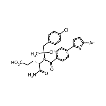 CC(=O)c1ccc(-c2ccc(C(=O)N([C@@H](CCC(=O)O)C(N)=O)C(C)(C)Cc3ccc(Cl)cc3)cc2)s1